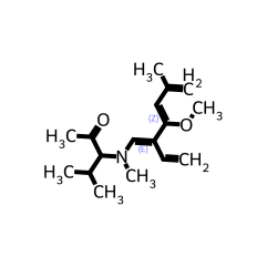 C=CC(=C\N(C)C(C(C)=O)C(C)C)/C(=C/C(=C)C)OC